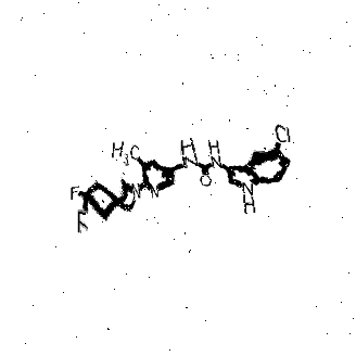 Cc1cc(NC(=O)Nc2c[nH]c3ccc(Cl)cc23)cnc1N1CC2(C1)CC(F)(F)C2